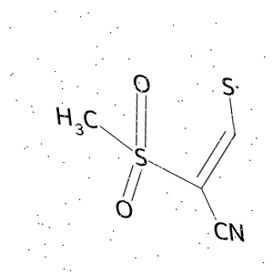 CS(=O)(=O)C(C#N)=C[S]